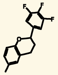 Cc1ccc2c(c1)CCC(c1cc(F)c(F)c(F)c1)O2